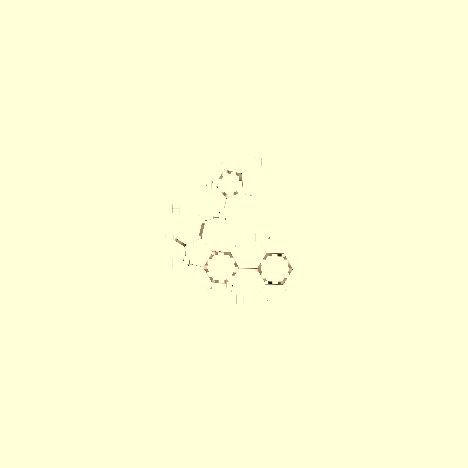 CC(Nc1ncc(C)s1)=C1C(=O)Nc2cnc(-c3c(C)cccc3F)cc21